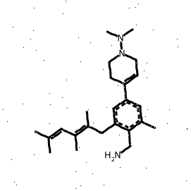 CC(C)=C/C(C)=C(\C)Cc1cc(C2=CCN(N(C)C)CC2)cc(C)c1CN